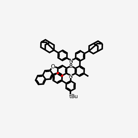 Cc1cc2c3c(c1)N(c1ccc(C(C)(C)C)cc1-c1ccccc1)c1cc4c(cc1B3N(c1ccc(C35CC6CC(CC(C6)C3)C5)cc1)c1ccc(C35CC6CC(CC(C6)C3)C5)cc1-2)oc1cc2ccccc2cc14